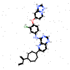 C=CC(=C)C1CCCC(c2ccc3ncnc(Nc4ccc(Oc5ccn6ncnc6c5)c(Cl)c4)c3n2)CC1